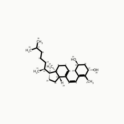 CC1=C(/C=C\C2=CCC[C@]3(C)[C@@H]([C@@H](C)CCCC(C)C)CC[C@@H]23)C[C@@H](O)C[C@@H]1O